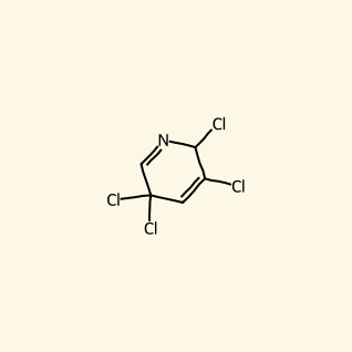 ClC1=CC(Cl)(Cl)C=NC1Cl